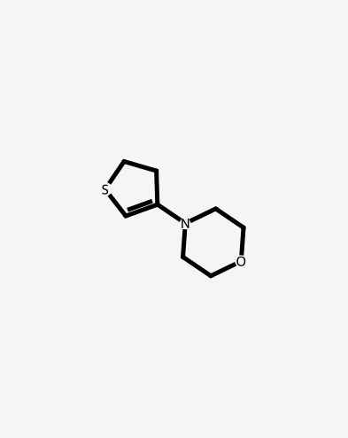 C1=C(N2CCOCC2)CCS1